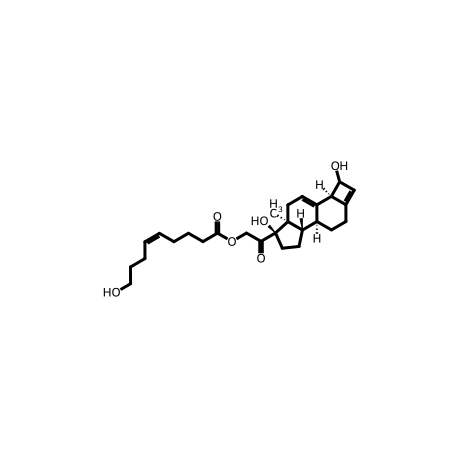 C[C@]12CC=C3[C@@H]4C(=CC4O)CC[C@H]3[C@@H]1CC[C@]2(O)C(=O)COC(=O)CCC/C=C\CCCO